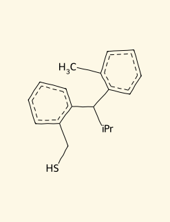 Cc1ccccc1C(c1ccccc1CS)C(C)C